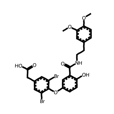 COc1ccc(CCNC(=O)c2cc(Oc3c(Br)cc(CC(=O)O)cc3Br)ccc2O)cc1OC